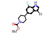 CCc1c[nH]c2c(F)cc(C3CCN(C(=O)OC(C)(C)C)CC3)cc12